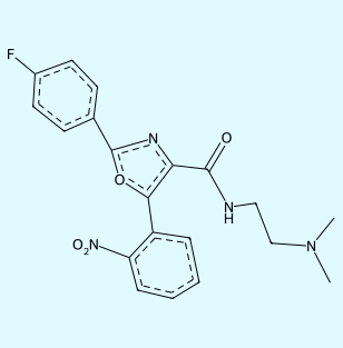 CN(C)CCNC(=O)c1nc(-c2ccc(F)cc2)oc1-c1ccccc1[N+](=O)[O-]